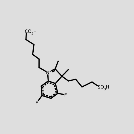 CC1=[N+](CCCCCC(=O)O)c2cc(F)cc(F)c2C1(C)CCCCS(=O)(=O)O